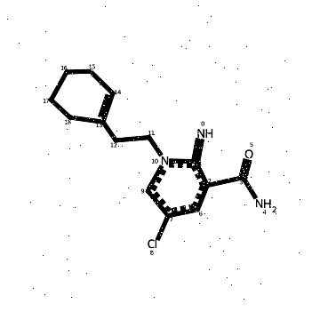 N=c1c(C(N)=O)cc(Cl)cn1CCC1=CCCCC1